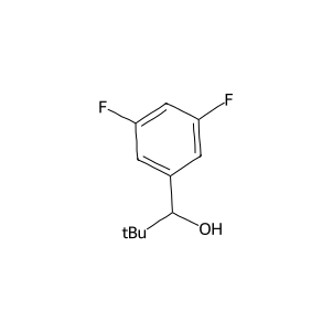 CC(C)(C)C(O)c1cc(F)cc(F)c1